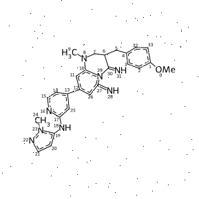 COc1ccc(CC2CN(C)c3cc(-c4ccnc(Nc5ccnn5C)c4)cc(=N)n3C2=N)cc1